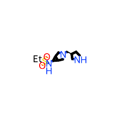 CCS(=O)(=O)NC1C2CN(C[C@H]3CCNC3)CC21